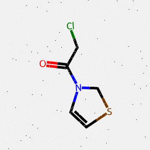 O=C(CCl)N1C=CSC1